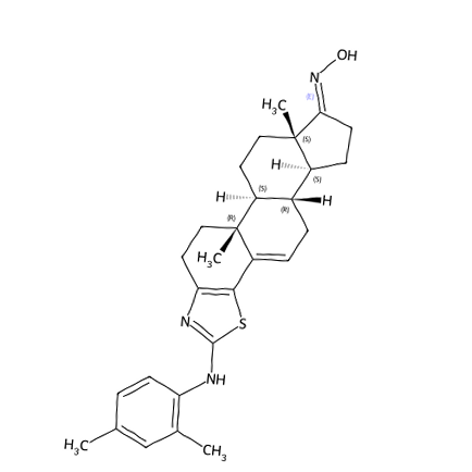 Cc1ccc(Nc2nc3c(s2)C2=CC[C@@H]4[C@H](CC[C@]5(C)/C(=N/O)CC[C@@H]45)[C@@]2(C)CC3)c(C)c1